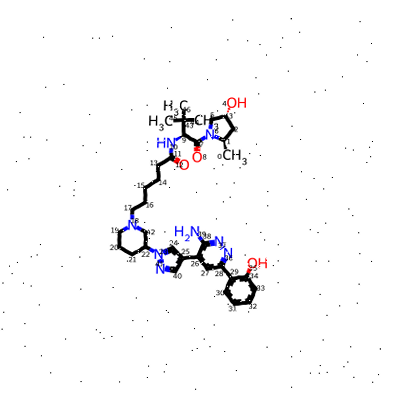 C[C@@H]1C[C@@H](O)CN1C(=O)[C@@H](NC(=O)CCCCCN1CCCC(n2cc(-c3cc(-c4ccccc4O)nnc3N)cn2)C1)C(C)(C)C